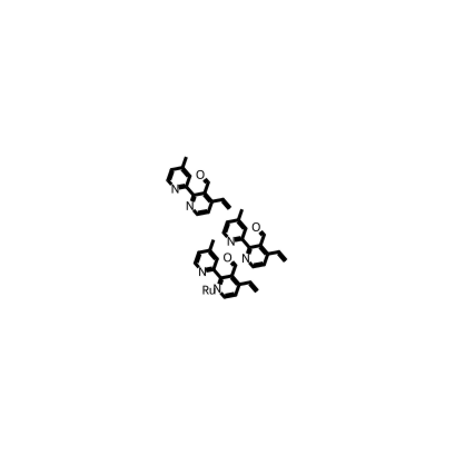 C=Cc1ccnc(-c2cc(C)ccn2)c1C=O.C=Cc1ccnc(-c2cc(C)ccn2)c1C=O.C=Cc1ccnc(-c2cc(C)ccn2)c1C=O.[Ru]